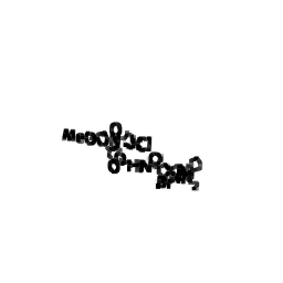 CCN(Cc1cc(C(=O)NCCCCOC(=O)Cc2c(C)n(C(=O)c3ccc(Cl)cc3)c3ccc(OC)cc23)cc(Br)c1N)C1CCCCC1